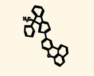 CC1(c2ccccc2)c2ccccc2-c2ccc(-c3ccc4c(c3)-c3cccc5cccc(c35)O4)cc21